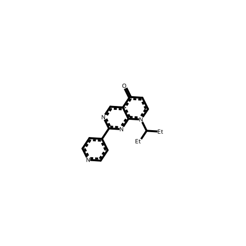 CCC(CC)n1ccc(=O)c2cnc(-c3ccncc3)nc21